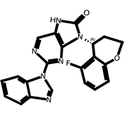 O=c1[nH]c2cnc(-n3cnc4ccccc43)nc2n1[C@@H]1CCOc2cccc(F)c21